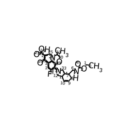 CCOC(=O)NCC1CC=CC2CN(c3c(F)cc4c(=O)c(C(=O)O)cn5c4c3OCC5C)CC21